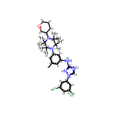 [2H]C1([2H])N(c2cc(C)cc(Nc3ncn(-c4cc(F)cc(F)c4)n3)c2)C([2H])([2H])C([2H])([2H])N(C2CCCOC2)C1([2H])[2H]